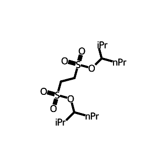 CCCC(OS(=O)(=O)CCS(=O)(=O)OC(CCC)C(C)C)C(C)C